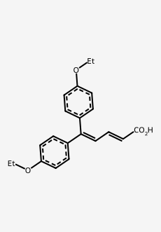 CCOc1ccc(C(=C/C=C/C(=O)O)c2ccc(OCC)cc2)cc1